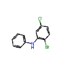 Clc1ccc(Br)c(Nc2ccccc2)c1